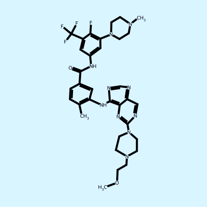 COCCN1CCN(c2ncc3ncnc(Nc4cc(C(=O)Nc5cc(N6CCN(C)CC6)c(F)c(C(F)(F)F)c5)ccc4C)c3n2)CC1